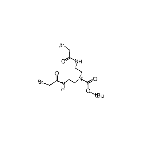 CC(C)(C)OC(=O)N(CCNC(=O)CBr)CCNC(=O)CBr